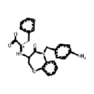 Nc1ccc(CN2C(=O)C(N[C@@H](Cc3ccccc3)C(=O)O)COc3ccccc32)cc1